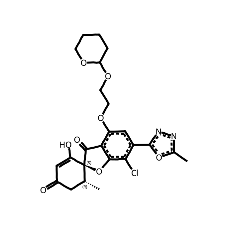 Cc1nnc(-c2cc(OCCOC3CCCCO3)c3c(c2Cl)O[C@]2(C3=O)C(O)=CC(=O)C[C@H]2C)o1